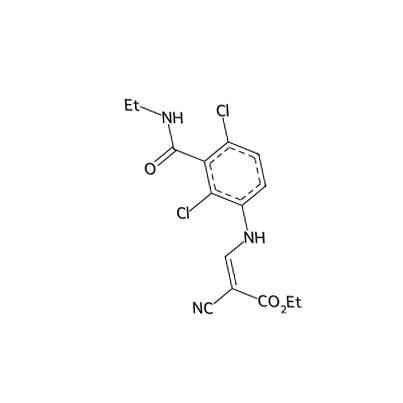 CCNC(=O)c1c(Cl)ccc(NC=C(C#N)C(=O)OCC)c1Cl